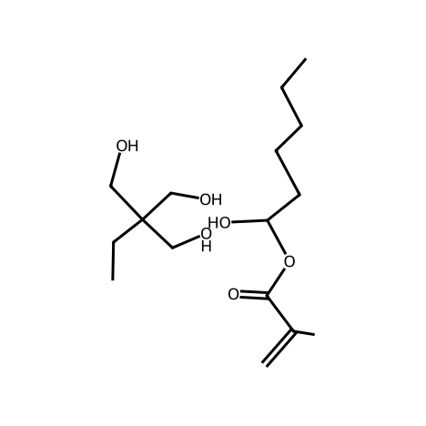 C=C(C)C(=O)OC(O)CCCCC.CCC(CO)(CO)CO